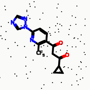 O=C(CC(=O)C1CC1)c1ccc(-n2cncn2)nc1C(F)(F)F